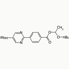 CCCCCCCCCc1cnc(-c2ccc(C(=O)OC(C)OCCCC)cc2)nc1